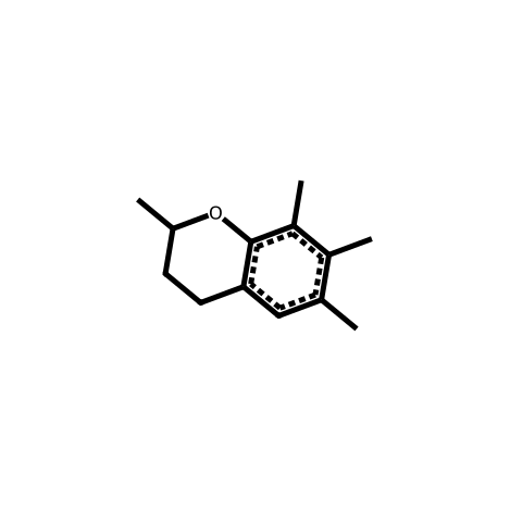 Cc1cc2c(c(C)c1C)OC(C)CC2